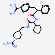 N=C(N)c1ccc(CC(C(=O)NC(C(=O)NCC2CCN(C(=N)N)CC2)C2CCCCC2)c2ccccc2F)cc1